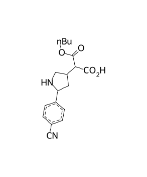 CCCCOC(=O)C(C(=O)O)C1CNC(c2ccc(C#N)cc2)C1